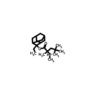 CCC1(OC(=O)C(C)(CC(C)(C)C)PC)C2CC3CC(C2)CC1C3